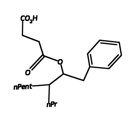 CCCCCC(CCC)C(Cc1ccccc1)OC(=O)CCC(=O)O